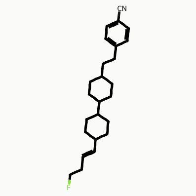 N#Cc1ccc(CCC2CCC(C3CCC(C=CCCF)CC3)CC2)cc1